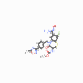 CC(C)(C)OC(=O)N[C@H]1CSc2cc(F)c(/C(N)=N/O)cc2N(Cc2ccc(-c3noc(C(F)(F)F)n3)cc2)C1=O